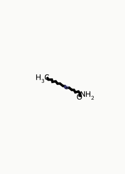 CCCCCCCC/C=C/CCCCCC(N)=O